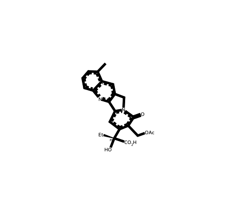 CC[C@](O)(C(=O)O)c1cc2n(c(=O)c1COC(C)=O)Cc1cc3c(C)cccc3nc1-2